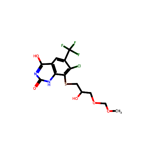 COCOCC(O)CSc1c(Cl)c(C(F)(F)F)cc2c(O)nc(=O)[nH]c12